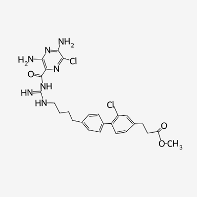 COC(=O)CCc1ccc(-c2ccc(CCCCNC(=N)NC(=O)c3nc(Cl)c(N)nc3N)cc2)c(Cl)c1